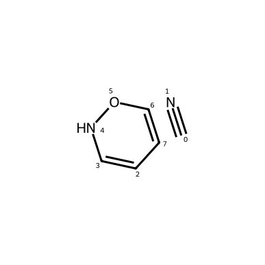 C#N.C1=CNOC=C1